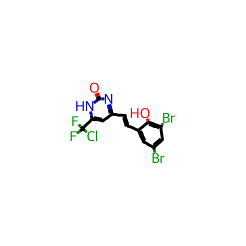 O=c1nc(C=Cc2cc(Br)cc(Br)c2O)cc(C(F)(F)Cl)[nH]1